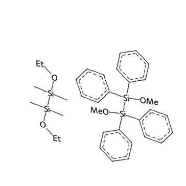 CCO[Si](C)(C)[Si](C)(C)OCC.CO[Si](c1ccccc1)(c1ccccc1)[Si](OC)(c1ccccc1)c1ccccc1